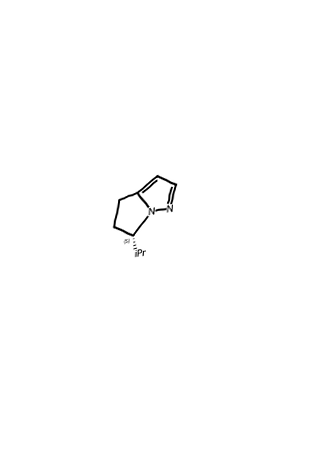 CC(C)[C@@H]1CCc2ccnn21